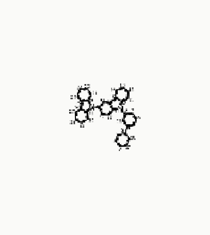 c1ccc(-c2cccc(-n3c4ccccc4c4cc(-n5c6ccccc6c6ccccc65)ccc43)c2)cc1